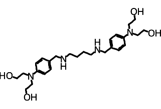 OCCN(CCO)c1ccc(CNCCCCNCc2ccc(N(CCO)CCO)cc2)cc1